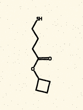 O=C(CCCS)OC1CCC1